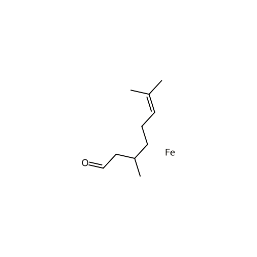 CC(C)=CCCC(C)CC=O.[Fe]